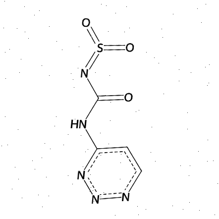 O=C(N=S(=O)=O)Nc1ccnnn1